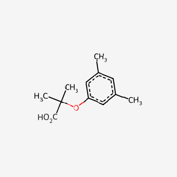 Cc1cc(C)cc(OC(C)(C)C(=O)O)c1